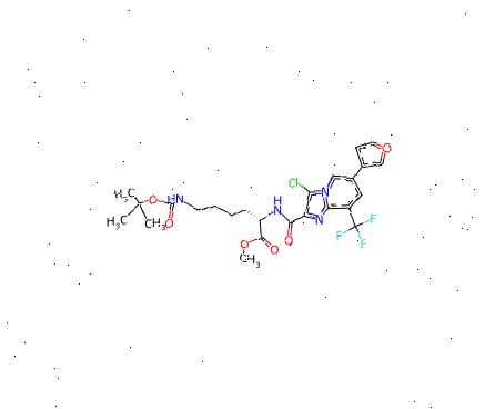 COC(=O)[C@H](CCCCNC(=O)OC(C)(C)C)NC(=O)c1nc2c(C(F)(F)F)cc(-c3ccoc3)cn2c1Cl